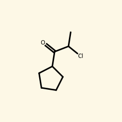 CC(Cl)C(=O)C1CCCC1